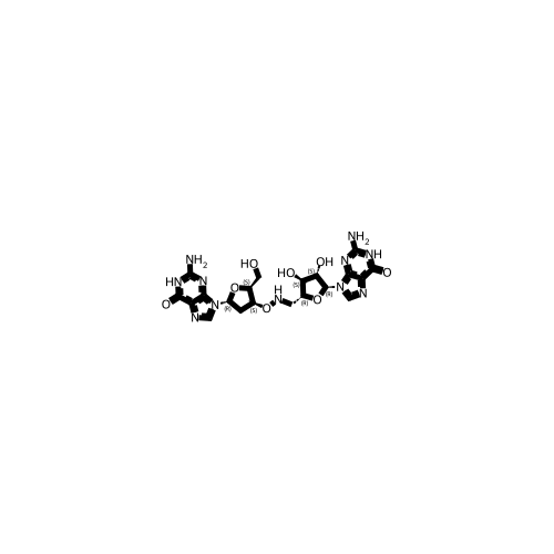 Nc1nc2c(ncn2[C@@H]2O[C@H](CNO[C@H]3C[C@H](n4cnc5c(=O)[nH]c(N)nc54)O[C@H]3CO)[C@@H](O)[C@@H]2O)c(=O)[nH]1